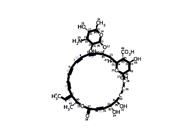 C\C=C1/C=C\C=C/C=C\C=C/[C@H](O[C@@H]2O[C@H](C)[C@@H](O)[C@H](N)[C@@H]2O)C[C@@H]2O[C@](O)(CCC[C@@H](O)[C@H](O)/C=C\C(=O)O[C@@H]1C)C[C@H](O)[C@H]2C(=O)O